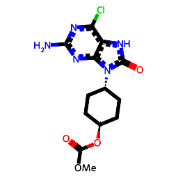 COC(=O)O[C@H]1CC[C@H](n2c(=O)[nH]c3c(Cl)nc(N)nc32)CC1